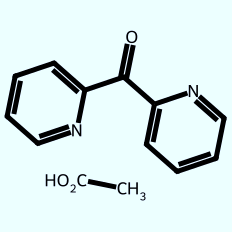 CC(=O)O.O=C(c1ccccn1)c1ccccn1